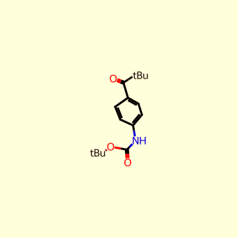 CC(C)(C)OC(=O)Nc1ccc(C(=O)C(C)(C)C)cc1